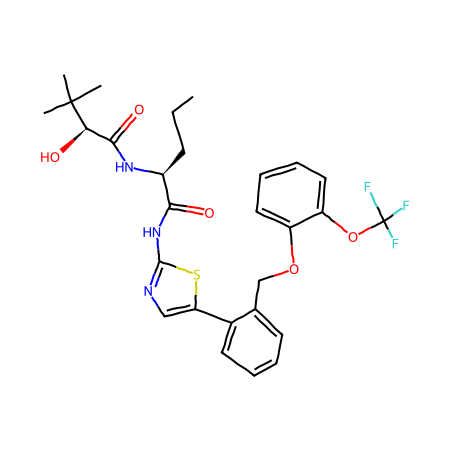 CCC[C@H](NC(=O)[C@@H](O)C(C)(C)C)C(=O)Nc1ncc(-c2ccccc2COc2ccccc2OC(F)(F)F)s1